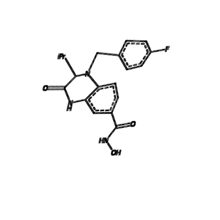 CC(C)C1C(=O)Nc2cc(C(=O)NO)ccc2N1Cc1ccc(F)cc1